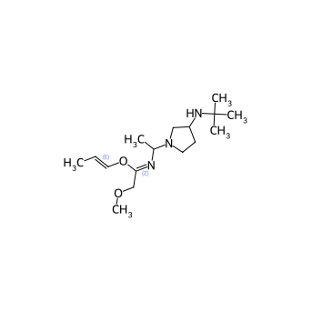 C/C=C/O/C(COC)=N\C(C)N1CCC(NC(C)(C)C)C1